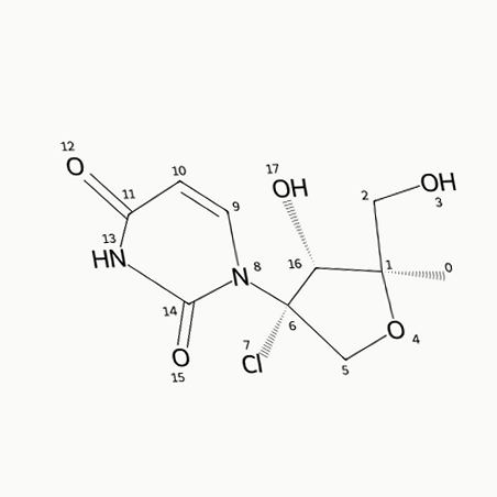 C[C@]1(CO)OC[C@@](Cl)(n2ccc(=O)[nH]c2=O)[C@@H]1O